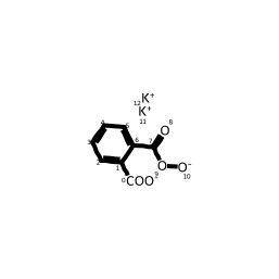 O=C([O-])c1ccccc1C(=O)O[O-].[K+].[K+]